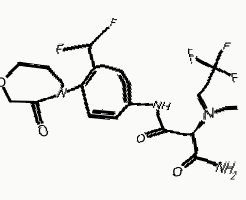 CN(CC(F)(F)F)[C@@H](C(N)=O)C(=O)Nc1ccc(N2CCOCC2=O)c(C(F)F)c1